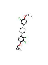 CCOc1ccc(C2CCC(c3ccc(OC)c(F)c3)CC2)c(F)c1F